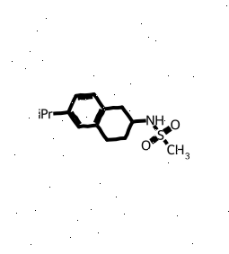 CC(C)c1ccc2c(c1)CCC(NS(C)(=O)=O)C2